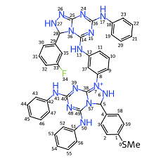 CSc1ccc(C2N[N+](c3cccc(NC4=NC(Nc5ccccc5)=NC5=NNC(c6cccc(F)c6)N54)c3)=C3N=C(Nc4ccccc4)N=C(Nc4ccccc4)N32)cc1